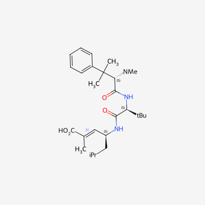 CN[C@H](C(=O)N[C@H](C(=O)N[C@H](/C=C(\C)C(=O)O)CC(C)C)C(C)(C)C)C(C)(C)c1ccccc1